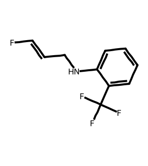 FC=CCNc1ccccc1C(F)(F)F